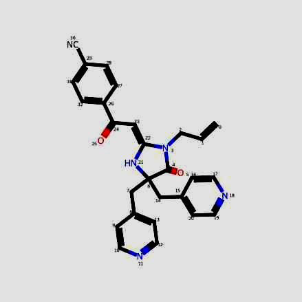 C=CCN1C(=O)C(Cc2ccncc2)(Cc2ccncc2)NC1=CC(=O)c1ccc(C#N)cc1